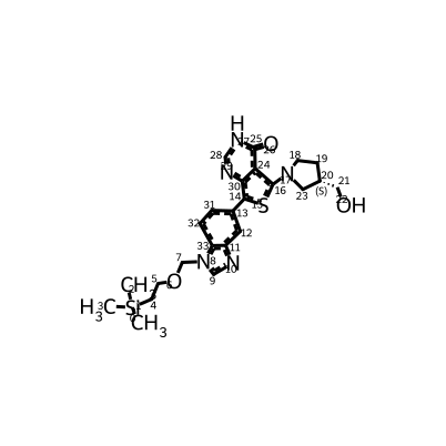 C[Si](C)(C)CCOCn1cnc2cc(-c3sc(N4CC[C@H](CO)C4)c4c(=O)[nH]cnc34)ccc21